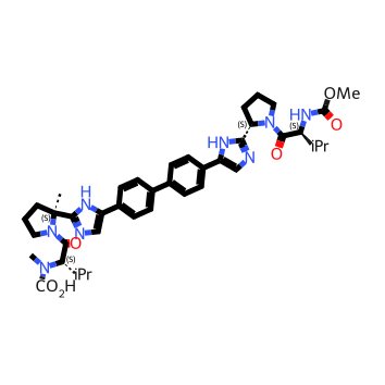 COC(=O)N[C@H](C(=O)N1CCC[C@H]1c1ncc(-c2ccc(-c3ccc(-c4cnc([C@]5(C)CCCN5C(=O)[C@H](C(C)C)N(C)C(=O)O)[nH]4)cc3)cc2)[nH]1)C(C)C